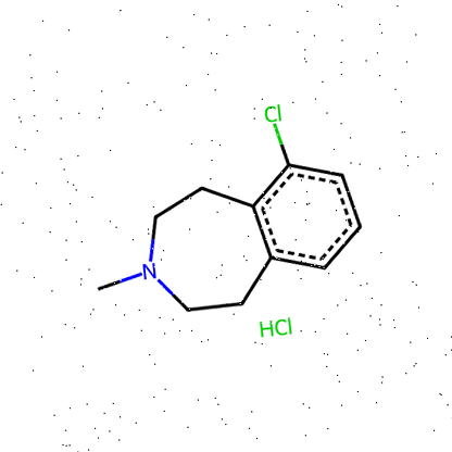 CN1CCc2cccc(Cl)c2CC1.Cl